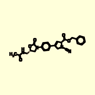 CC(=O)NC[C@H]1CN(c2ccc(C3=C[C@@H](C(=O)OCc4ccccc4)N(C#N)C3)cc2)C(=O)O1